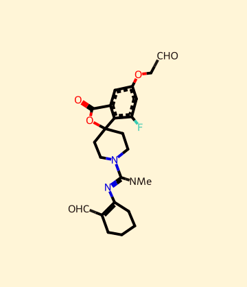 CN/C(=N\C1=C(C=O)CCCC1)N1CCC2(CC1)OC(=O)c1cc(OCC=O)cc(F)c12